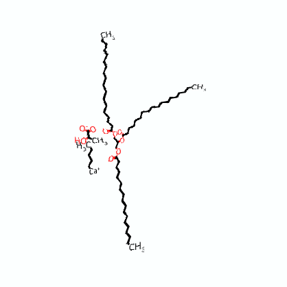 CC(O)C(=O)[O-].CCCCCCCCCCCCCCCCCC(=O)OCC(COC(=O)CCCCCCCCCCCCCCCCC)OC(=O)CCCCCCCCCCCCCCCCC.CCCC[CH2][Ca+]